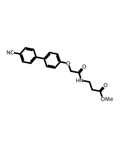 COC(=O)CCNC(=O)COc1ccc(-c2ccc(C#N)cc2)cc1